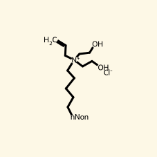 C=CC[N+](CCO)(CCO)CCCCCCCCCCCCCC.[Cl-]